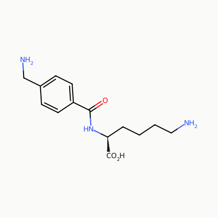 NCCCC[C@H](NC(=O)c1ccc(CN)cc1)C(=O)O